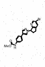 COC(=O)Nc1ccc(-c2cnn(C3CCc4cc(Br)cnc43)c2)cc1